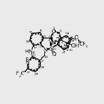 CC(C)(O)c1coc(-c2cccc3c2N(S(=O)(=O)c2ccc(OC(F)(F)F)cc2)Cc2ccc(C(F)(F)F)nc2N3)n1